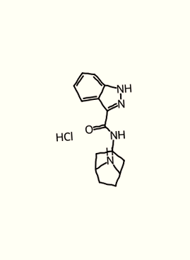 Cl.O=C(NC1CC2CCC(C1)N2)c1n[nH]c2ccccc12